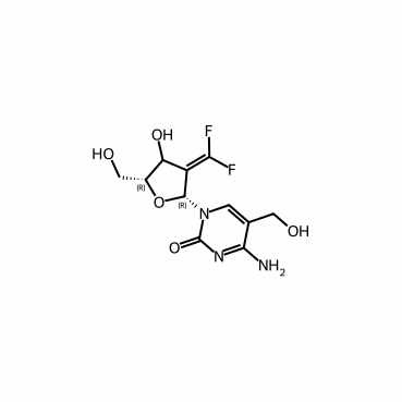 Nc1nc(=O)n([C@@H]2O[C@H](CO)C(O)C2=C(F)F)cc1CO